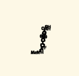 CNCCNc1ccc(-c2ccc(S(=O)(=O)N3CC=C(C(=O)NO)CC3)cc2)cc1F